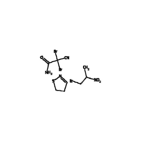 C1=NSCC1.CC(CBr)[N+](=O)[O-].N#CC(Br)(Br)C(N)=O